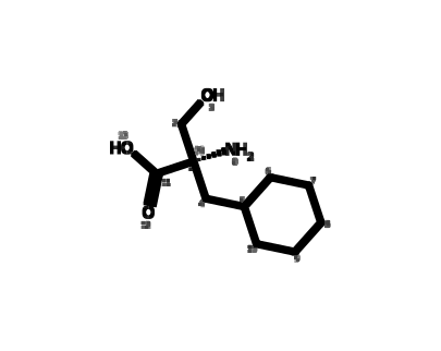 N[C@](CO)(CC1CCCCC1)C(=O)O